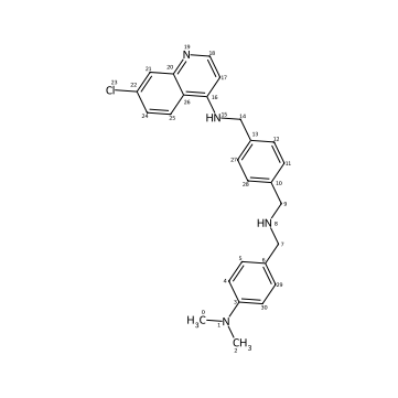 CN(C)c1ccc(CNCc2ccc(CNc3ccnc4cc(Cl)ccc34)cc2)cc1